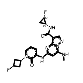 CNc1cc(Nc2cccn([C@H]3C[C@H](F)C3)c2=O)nc2c(C(=O)N[C@@H]3C[C@@H]3F)cnn12